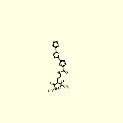 CS(=O)(=O)C(CCNC(=O)c1ccc(-c2ccc(-c3cccs3)s2)s1)C(=O)NO